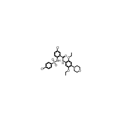 CCOc1cc(N2CCOCC2)c(OCC)cc1NC(=O)c1cc(Cl)ccc1NS(=O)(=O)c1ccc(Cl)cc1